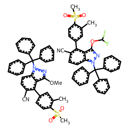 COc1nn(C(c2ccccc2)(c2ccccc2)c2ccccc2)c2ccc(C#N)c(-c3ccc(S(C)(=O)=O)c(C)c3)c12.Cc1cc(-c2c(C#N)ccc3c2c(OC(F)F)nn3C(c2ccccc2)(c2ccccc2)c2ccccc2)ccc1S(C)(=O)=O